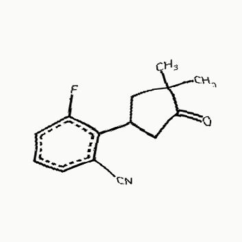 CC1(C)CC(c2c(F)cccc2C#N)CC1=O